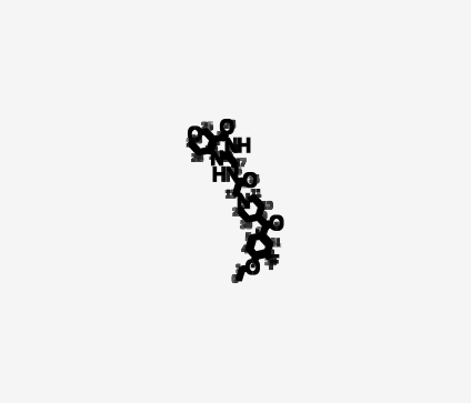 CCOc1ccc(C(=O)C2CCN(CC(=O)NCc3nc4c(c(=O)[nH]3)COCC4)CC2)cc1F